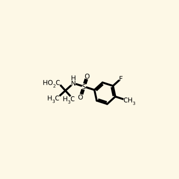 Cc1ccc(S(=O)(=O)NC(C)(C)C(=O)O)cc1F